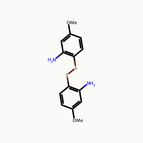 COc1ccc(SSc2ccc(OC)cc2N)c(N)c1